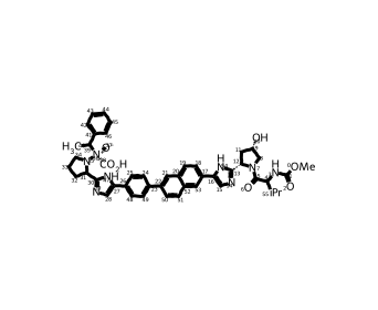 COC(=O)NC(C(=O)N1C[C@@H](O)C[C@H]1c1ncc(-c2ccc3cc(-c4ccc(-c5cnc(C6CCCN6[N+]([O-])(C(=O)O)C(C)c6ccccc6)[nH]5)cc4)ccc3c2)[nH]1)C(C)C